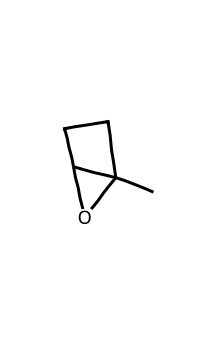 CC12CCC1O2